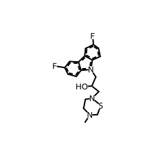 CN1CCN(CC(O)Cn2c3ccc(F)cc3c3cc(F)ccc32)SC1